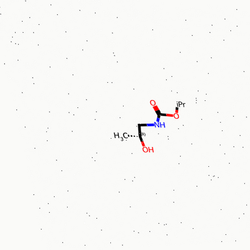 CC(C)OC(=O)NC[C@@H](C)O